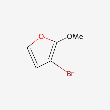 COc1occc1Br